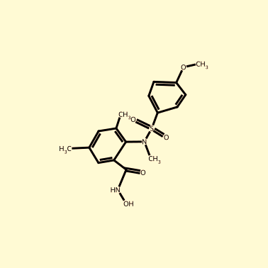 COc1ccc(S(=O)(=O)N(C)c2c(C)cc(C)cc2C(=O)NO)cc1